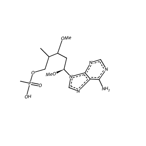 COC(C[C@H](OC)n1cnc2c(N)ncnc21)C(C)COP(C)(=O)O